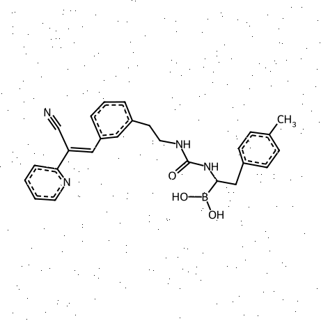 Cc1ccc(CC(NC(=O)NCCc2cccc(C=C(C#N)c3ccccn3)c2)B(O)O)cc1